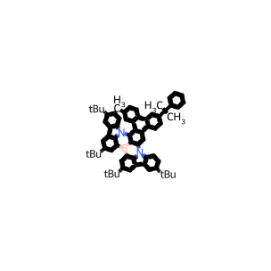 Cc1ccc2c3cc(C(C)(C)c4ccccc4)ccc3c3cc4c5c(c3c2c1)-n1c2ccc(C(C)(C)C)cc2c2cc(C(C)(C)C)cc(c21)B5c1cc(C(C)(C)C)cc2c3cc(C(C)(C)C)ccc3n-4c12